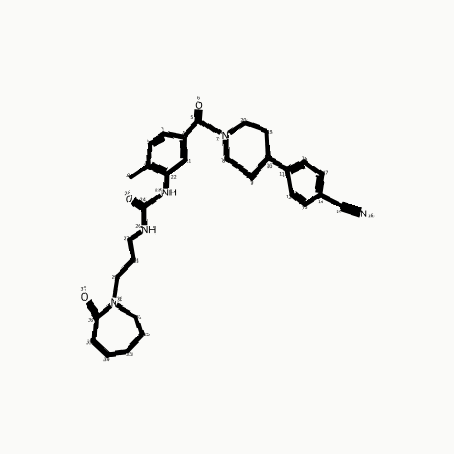 Cc1ccc(C(=O)N2CCC(c3ccc(C#N)cc3)CC2)cc1NC(=O)NCCCN1CCCCCC1=O